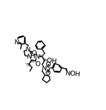 CC[C@H](C)[C@@H](C(=O)N[C@@H](Cc1ccccc1)[C@H](O)CN(CC1CCCC1)S(=O)(=O)c1ccc(C=NO)cc1)N1CCN(Cc2cccnc2C)C1=O